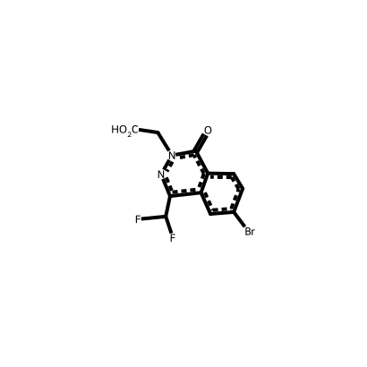 O=C(O)Cn1nc(C(F)F)c2cc(Br)ccc2c1=O